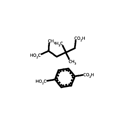 CC(CC(C)(C)CC(=O)O)C(=O)O.O=C(O)c1ccc(C(=O)O)cc1